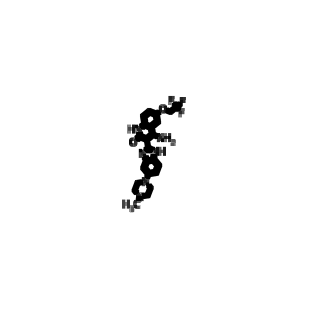 CN1CCN(c2ccc3[nH]c(-c4c(N)c5cc(OCC(F)(F)F)ccc5[nH]c4=O)nc3c2)CC1